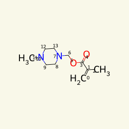 C=C(C)C(=O)OCN1CCN(C)CC1